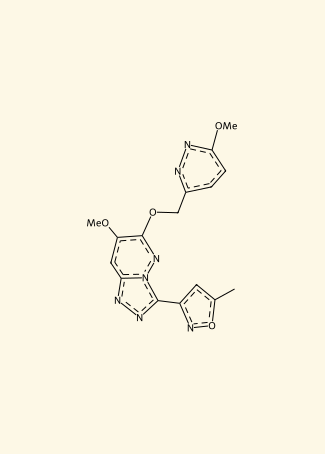 COc1ccc(COc2nn3c(-c4cc(C)on4)nnc3cc2OC)nn1